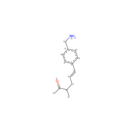 CC(=O)C(C)CC=Cc1ccc(CN)cc1